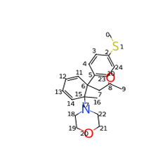 CSc1ccc(C2(CC(C)=O)C=CC=CC2(C)N2CCOCC2)cc1